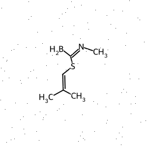 B/C(=N/C)SC=C(C)C